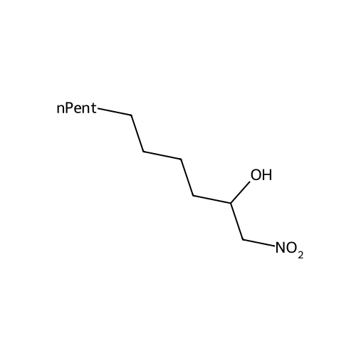 CCCCCCCCCC(O)C[N+](=O)[O-]